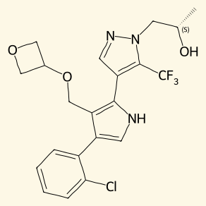 C[C@H](O)Cn1ncc(-c2[nH]cc(-c3ccccc3Cl)c2COC2COC2)c1C(F)(F)F